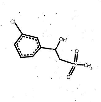 CS(=O)(=O)CC(O)c1cccc(Cl)c1